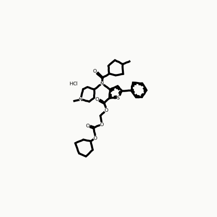 CC1CCC(C(=O)N(c2cc(-c3ccccc3)sc2C(=O)OCOC(=O)OC2CCCCC2)C2CCN(C)CC2)CC1.Cl